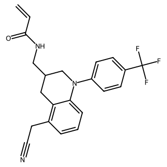 C=CC(=O)NCC1Cc2c(CC#N)cccc2N(c2ccc(C(F)(F)F)cc2)C1